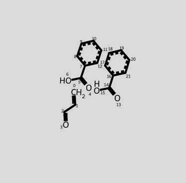 C=CC=O.O=C(O)c1ccccc1.O=C(O)c1ccccc1